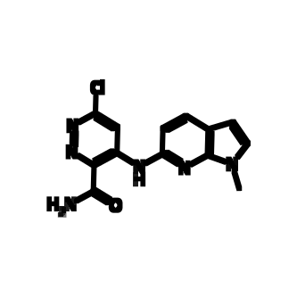 Cn1ccc2ccc(Nc3cc(Cl)nnc3C(N)=O)nc21